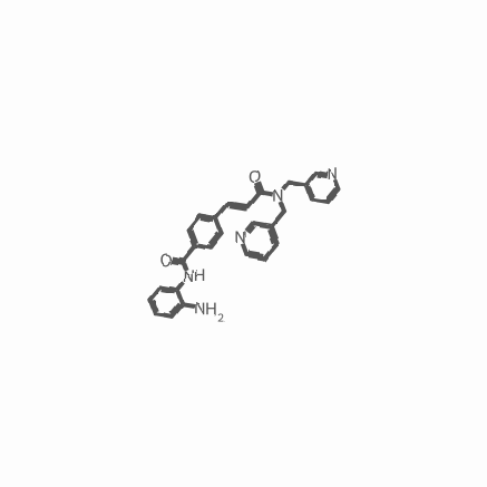 Nc1ccccc1NC(=O)c1ccc(C=CC(=O)N(Cc2cccnc2)Cc2cccnc2)cc1